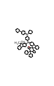 CC1(C)c2ccccc2-c2ccc(N(c3ccc(N(c4ccccc4)c4ccc(-c5ccccc5)cc4)cc3)c3ccc4c(c3)C3(c5ccccc5-4)c4ccccc4C(c4ccccc4)(c4ccccc4)c4ccccc43)cc21